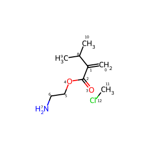 C=C(C(=O)OCCN)C(C)C.CCl